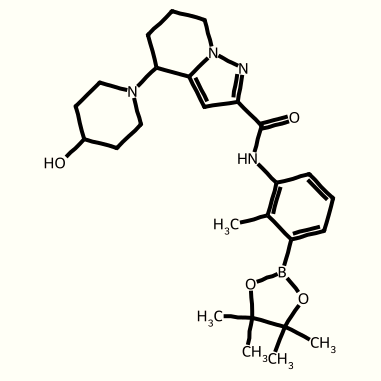 Cc1c(NC(=O)c2cc3n(n2)CCCC3N2CCC(O)CC2)cccc1B1OC(C)(C)C(C)(C)O1